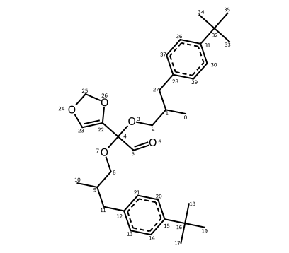 CC(COC(C=O)(OCC(C)Cc1ccc(C(C)(C)C)cc1)C1=COCO1)Cc1ccc(C(C)(C)C)cc1